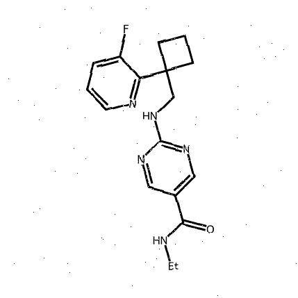 CCNC(=O)c1cnc(NCC2(c3ncccc3F)CCC2)nc1